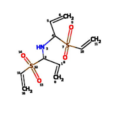 C=CC(NC(C=C)S(=O)(=O)C=C)S(=O)(=O)C=C